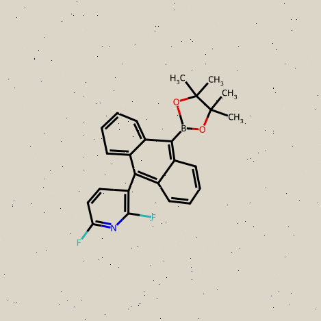 CC1(C)OB(c2c3ccccc3c(-c3ccc(F)nc3F)c3ccccc23)OC1(C)C